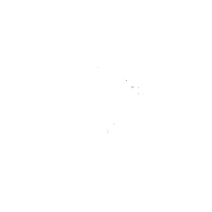 CCC(O)CNC(=O)O[C@@H]1CC[C@H](c2cc(NC(=O)Cc3ccc(OC)cc3)n[nH]2)C1